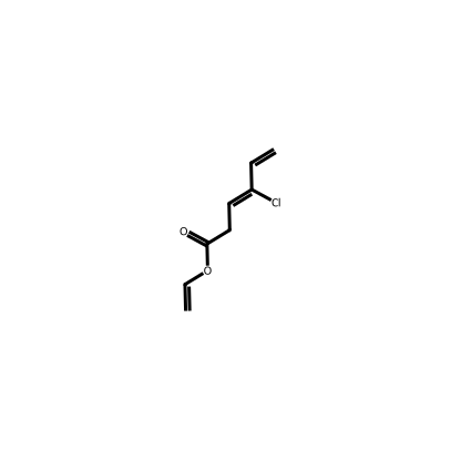 C=COC(=O)CC=C(Cl)C=C